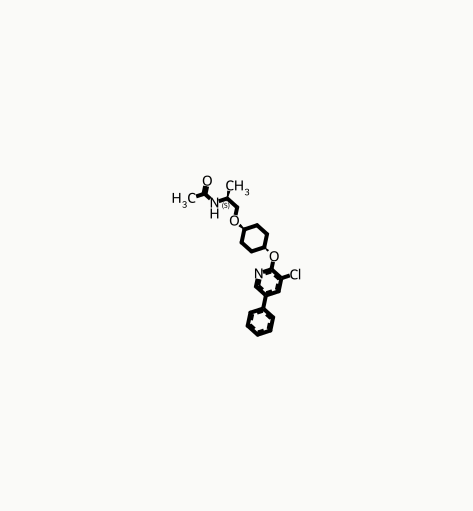 CC(=O)N[C@@H](C)CO[C@H]1CC[C@H](Oc2ncc(-c3ccccc3)cc2Cl)CC1